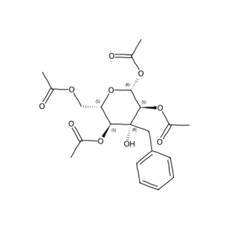 CC(=O)OC[C@@H]1O[C@H](OC(C)=O)[C@@H](OC(C)=O)[C@@](O)(Cc2ccccc2)[C@H]1OC(C)=O